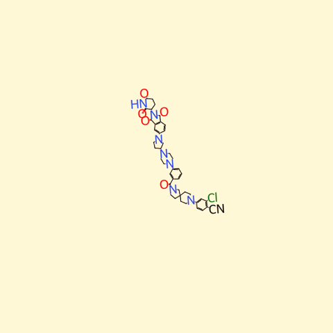 N#Cc1ccc(N2CCC3(CCN(C(=O)c4cccc(N5CCN(C6CCN(c7ccc8c(c7)C(=O)N(C7CCC(=O)NC7=O)C8=O)C6)CC5)c4)C3)CC2)cc1Cl